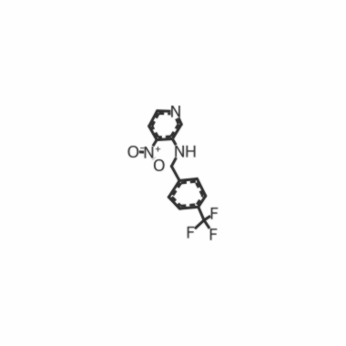 O=[N+]([O-])c1ccncc1NCc1ccc(C(F)(F)F)cc1